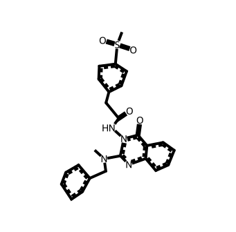 CN(Cc1ccccc1)c1nc2ccccc2c(=O)n1NC(=O)Cc1ccc(S(C)(=O)=O)cc1